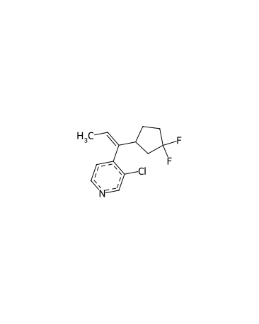 C/C=C(\c1ccncc1Cl)C1CCC(F)(F)C1